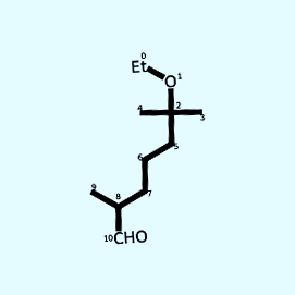 CCOC(C)(C)CCCC(C)C=O